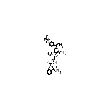 Cc1cc(N(C)c2ccc(OC(F)(F)F)cc2)nc(C)c1OC/C=N/NC(=O)NSc1ccccc1C(C)C